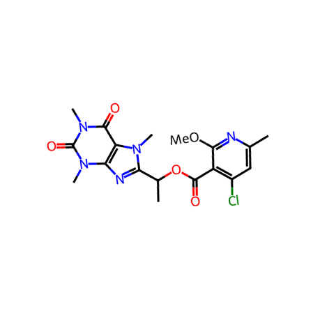 COc1nc(C)cc(Cl)c1C(=O)OC(C)c1nc2c(c(=O)n(C)c(=O)n2C)n1C